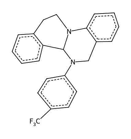 FC(F)(F)c1ccc(N2Cc3ccccc3N3CCc4ccccc4C23)cc1